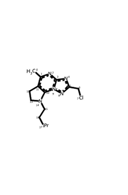 Cc1nc2nc(CCl)nn2c2c1CCN2CCC(C)C